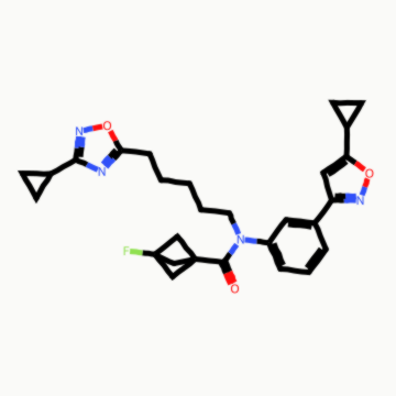 O=C(N(CCCCCc1nc(C2CC2)no1)c1cccc(-c2cc(C3CC3)on2)c1)C12CC(F)(C1)C2